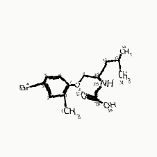 Cc1cc(Br)ccc1OCC(CC(C)C)NC(=O)O